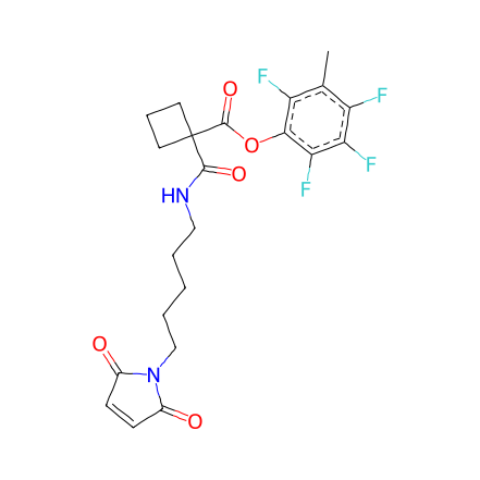 Cc1c(F)c(F)c(F)c(OC(=O)C2(C(=O)NCCCCCN3C(=O)C=CC3=O)CCC2)c1F